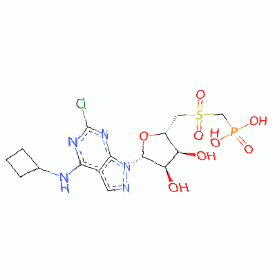 O=P(O)(O)CS(=O)(=O)C[C@H]1O[C@@H](n2ncc3c(NC4CCC4)nc(Cl)nc32)[C@H](O)[C@@H]1O